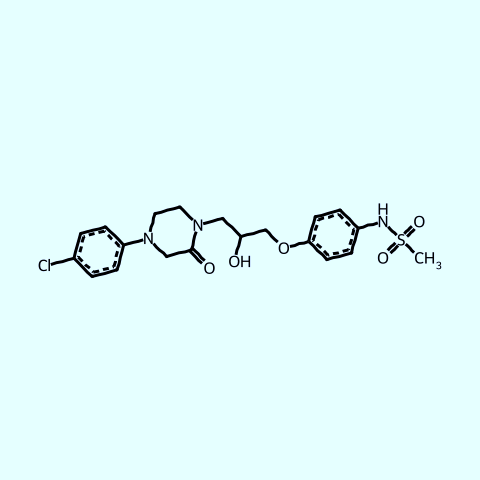 CS(=O)(=O)Nc1ccc(OCC(O)CN2CCN(c3ccc(Cl)cc3)CC2=O)cc1